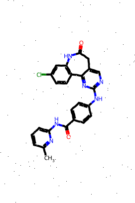 Cc1cccc(NC(=O)c2ccc(Nc3ncc4c(n3)-c3ccc(Cl)cc3NC(=O)C4)cc2)n1